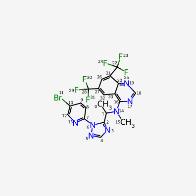 CC(c1ncnn1-c1ccc(Br)cn1)N(C)c1ncnc2c(C(F)(F)F)cc(C(F)(F)F)cc12